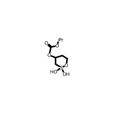 CC(C)OC(=O)OC1CCOS(O)(O)C1